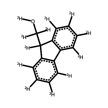 [2H]OC([2H])([2H])C1([2H])c2c([2H])c([2H])c([2H])c([2H])c2-c2c([2H])c([2H])c([2H])c([2H])c21